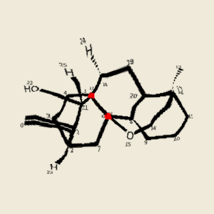 C=C1[C@H]2CCC3(C(C2)[C@@]24CCC[C@@]5(C)COC2O[C@@H]3CC54)[C@H]1O